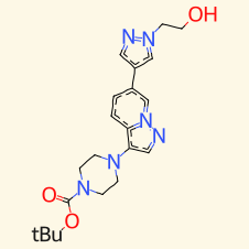 CC(C)(C)OC(=O)N1CCN(c2cnn3cc(-c4cnn(CCO)c4)ccc23)CC1